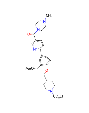 CCOC(=O)N1CCC(COc2ccc(-c3ccc(C(=O)N4CCN(C)CC4)cn3)cc2COC)CC1